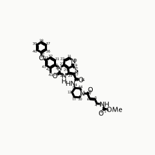 COC(=O)NC/C=C/C(=O)N1CCC[C@@H](NC(=O)c2sc3nccc4c3c2NC(=O)N4c2ccc(Oc3ccccc3)cc2C)C1